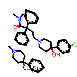 CCOC(=O)C1(c2ccccc2)CCN(C)CC1.CN(C)C(=O)C(CCN1CCC(O)(c2ccc(Cl)cc2)CC1)(c1ccccc1)c1ccccc1